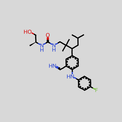 CC(C)CC(c1ccc(Nc2ccc(F)cc2)c(C=N)c1)C(C)(C)CNC(=O)N[C@@H](C)CO